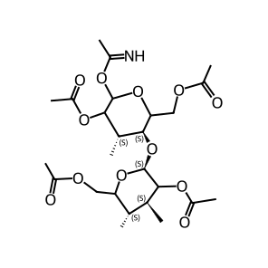 CC(=N)OC1OC(COC(C)=O)[C@@H](O[C@@H]2OC(COC(C)=O)[C@@H](C)[C@H](C)C2OC(C)=O)[C@H](C)C1OC(C)=O